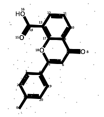 Cc1ccc(-c2cc(=O)c3cccc(C(=O)O)c3o2)cc1